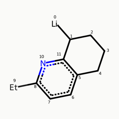 [Li][CH]1CCCc2ccc(CC)nc21